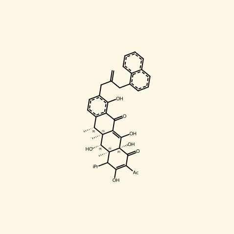 C=C(Cc1ccc2c(c1O)C(=O)C1=C(O)[C@@]3(O)C(=O)C(C(C)=O)=C(O)C(C(C)C)[C@@]3(C)[C@H](O)[C@@]1(C)[C@@H]2C)Cc1cccc2ccccc12